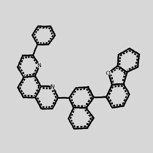 c1ccc(-c2ccc3ccc4ccc(-c5ccc(-c6cccc7c6oc6ccccc67)c6ccccc56)nc4c3n2)cc1